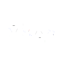 Cc1nnc(-c2cc(F)c(NC(=O)N3[C@H]4CC[C@@H]3c3ccnc(F)c3C4)cc2Cl)s1